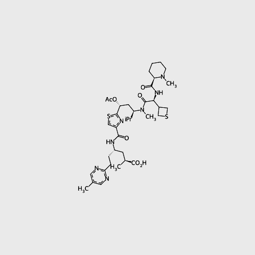 CC(=O)O[C@H](C[C@H](C(C)C)N(C)C(=O)[C@@H](NC(=O)[C@H]1CCCCN1C)C1CSC1)c1nc(C(=O)N[C@@H](CCc2ncc(C)cn2)C[C@H](C)C(=O)O)cs1